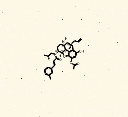 C=CCN1CC[C@]23c4c5c(O)cc(OC(C)=O)c4O[C@H]2[C@@H](N(CC(C)C)C(=O)C=Cc2cccc(C)c2)CC[C@H]3[C@H]1C5